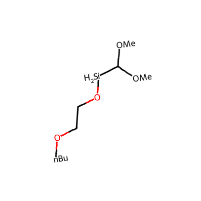 CCCCOCCO[SiH2]C(OC)OC